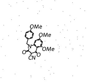 COc1ccc(CN2C(=O)C(C#N)C(=O)c3c(OC)cc(OC)cc32)cc1